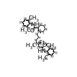 CC[N+](C)(CCCN1CCCCC1C(=O)Nc1c(C)cccc1C)CC(=O)Nc1c(C)cccc1C